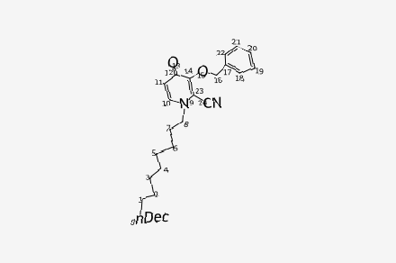 CCCCCCCCCCCCCCCCCCn1ccc(=O)c(OCc2ccccc2)c1C#N